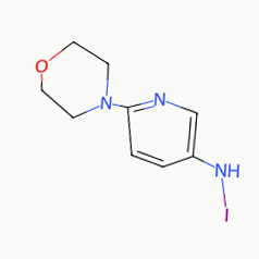 INc1ccc(N2CCOCC2)nc1